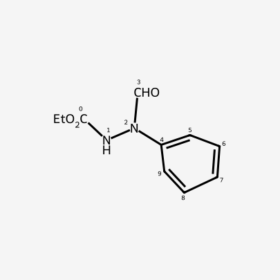 CCOC(=O)NN(C=O)c1ccccc1